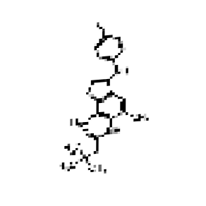 Cc1cc2c(c(C)c1NC(=O)CC(C)(C)C)CCC2Nc1ccc(Cl)cc1